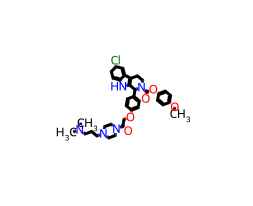 COc1ccc(OC(=O)N2CCc3c([nH]c4c3=CC(Cl)CC=4)C2c2ccc(OCC(=O)N3CCN(CCCN(C)C)CC3)cc2)cc1